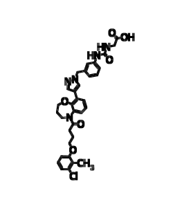 Cc1c(Cl)cccc1OCCCC(=O)N1CCCOc2c(-c3cnn(Cc4cccc(NC(=O)NCC(=O)O)c4)c3)cccc21